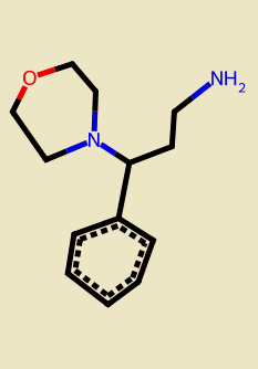 NCCC(c1ccccc1)N1CCOCC1